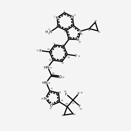 Nc1ncnc2c1c(-c1cc(F)c(NC(=O)Nc3cc(C4(C(F)(F)F)CC4)on3)cc1F)nn2C1CC1